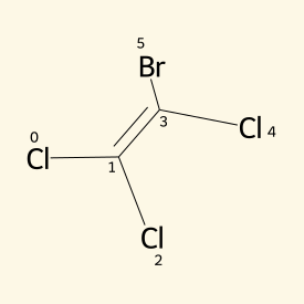 ClC(Cl)=C(Cl)Br